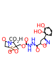 CC1(COC(=O)NNC(=O)C2CC(c3cccc(O)c3O)=NO2)C(C(=O)O)N2C(=O)CC2S1(=O)=O